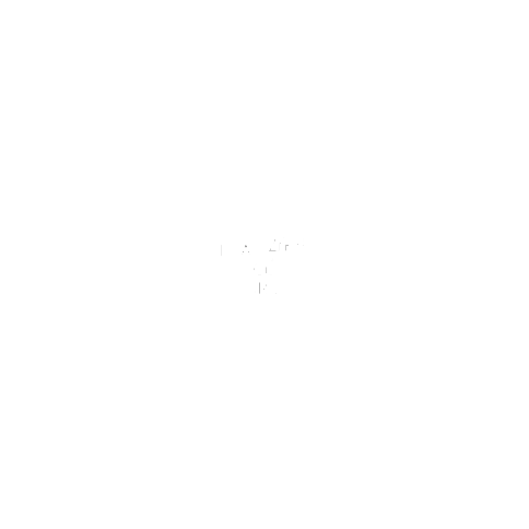 [AlH3].[Cu].[La].[Ru].[Zn]